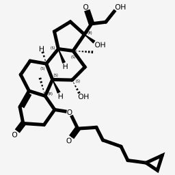 C[C@]12C[C@H](O)[C@H]3[C@@H](CCC4=CC(=O)CC(OC(=O)CCCCC5CC5)[C@@]43C)[C@@H]1CC[C@]2(O)C(=O)CO